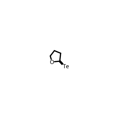 [Te]=C1CCCO1